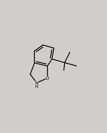 CC(C)(C)c1cccc2c1ONC2